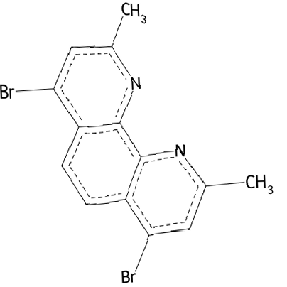 Cc1cc(Br)c2ccc3c(Br)cc(C)nc3c2n1